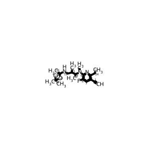 C#Cc1cc(F)c(N(C)C(C)C(C)CNC(=C)OC(C)(C)C)nc1CC